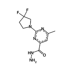 Cc1cc(C(=O)NN)nc(N2CCC(F)(F)C2)n1